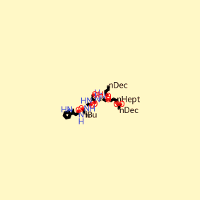 CCCCCCCCCCCCCC(=O)N[C@@H](CNC(=O)[C@H](CO)NC(=O)CNC(=O)[C@@H](NC(=O)Cc1c[nH]c2ccccc12)[C@@H](C)CC)COCC[C@@H](CCCCCCC)OC(=O)CCCCCCCCCCC